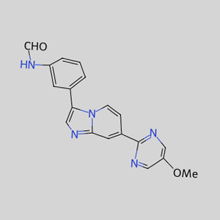 COc1cnc(-c2ccn3c(-c4cccc(NC=O)c4)cnc3c2)nc1